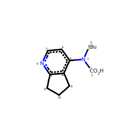 CC(C)(C)N(C(=O)O)c1ccnc2c1CCC2